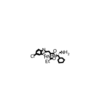 CCC(=O)NC(Cc1nc2ccc(Cl)cc2s1)C(=O)N[C@H](CN)C1CCCCC1